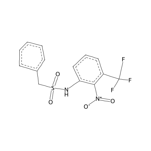 O=[N+]([O-])c1c(NS(=O)(=O)Cc2ccccc2)cccc1C(F)(F)F